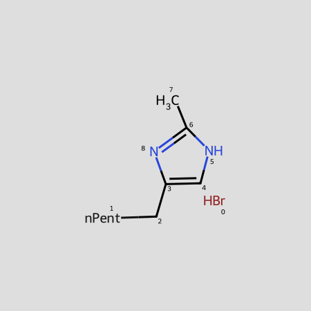 Br.CCCCCCc1c[nH]c(C)n1